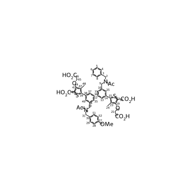 CC(=O)N(Cc1ccccc1)Cc1cccc(-c2sc(C(=O)O)c(OCC(=O)O)c2C)c1.COc1ccc(CN(Cc2cccc(-c3sc(C(=O)O)c(OCC(=O)O)c3C)c2)C(C)=O)cc1